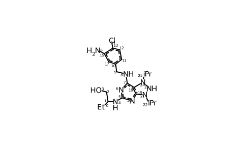 CCC(CO)Nc1nc(NCc2ccc(Cl)c(N)c2)c2c(n1)N(C(C)C)NN2C(C)C